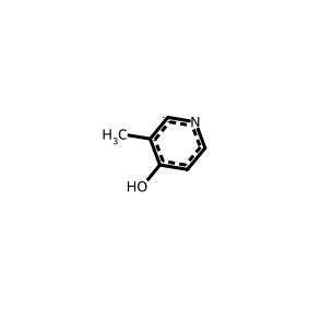 Cc1[c]nccc1O